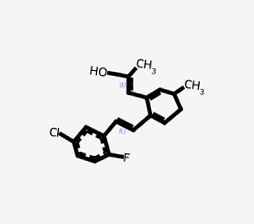 C/C(O)=C\C1=CC(C)CC=C1/C=C/c1cc(Cl)ccc1F